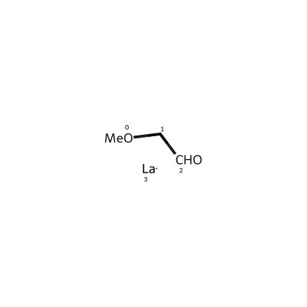 COCC=O.[La]